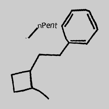 CC1CCC1CCc1ccccc1.[CH2]CCCCC